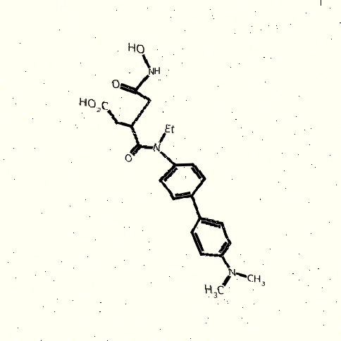 CCN(C(=O)C(CC(=O)O)CC(=O)NO)c1ccc(-c2ccc(N(C)C)cc2)cc1